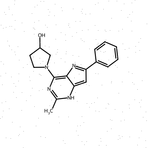 Cc1nc(N2CCC(O)C2)c2nc(-c3ccccc3)cc-2[nH]1